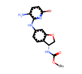 CC(C)(C)OC(=O)N[C@H]1COc2cc(Nc3nc(Br)ccc3N)ccc21